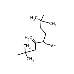 C=C(CC(C)(C)I)C(CCC(C)(C)I)OC(C)=O